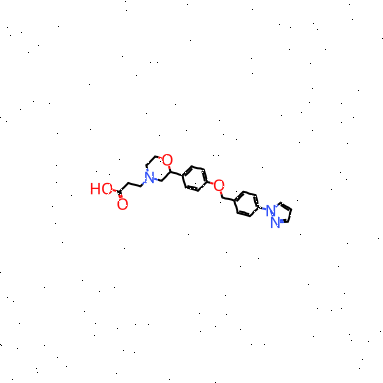 O=C(O)CCN1CCOC(c2ccc(OCc3ccc(-n4cccn4)cc3)cc2)C1